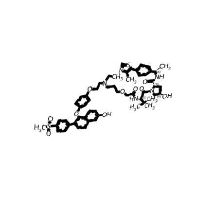 CCN(CCCOCC(=O)N[C@H](C(=O)N1C[C@H](O)C[C@H]1C(=O)N[C@@H](C)c1ccc(-c2scnc2C)cc1)C(C)(C)C)CCOc1ccc(Oc2c(-c3ccc(S(C)(=O)=O)cc3)ccc3cc(O)ccc23)cc1